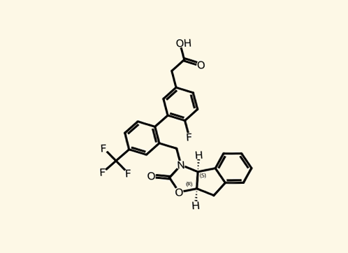 O=C(O)Cc1ccc(F)c(-c2ccc(C(F)(F)F)cc2CN2C(=O)O[C@@H]3Cc4ccccc4[C@@H]32)c1